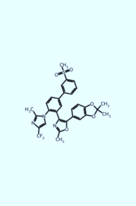 Cc1nc(-c2cc(-c3cccc(S(C)(=O)=O)c3)ccc2-n2cc(C(F)(F)F)nc2C)c(-c2ccc3c(c2)OC(C)(C)O3)o1